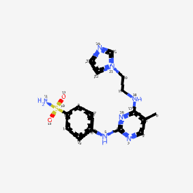 Cc1cnc(Nc2ccc(S(N)(=O)=O)cc2)nc1NCCn1ccnc1